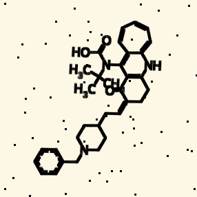 CC(C)(C)N(C(=O)O)C1=C2C=CC=CC=C2NC2=C1C(=O)C(=CCC1CCN(Cc3ccccc3)CC1)CC2